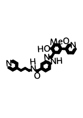 COc1ncccc1-c1ccc(O)c(-c2nc3cc(C(=O)NCCCc4ccncc4)ccc3[nH]2)c1